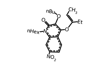 CC=C(CC)Oc1c(OCCCC)c(=O)n(CCCCCC)c2cc([N+](=O)[O-])ccc12